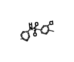 Cc1ccc(S(=O)(=O)Nc2cc[c]cc2)cc1Cl